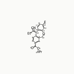 CCCOC(=O)c1ccc2c(c1)COc1cc(F)ccc1C2=C(C#N)CC